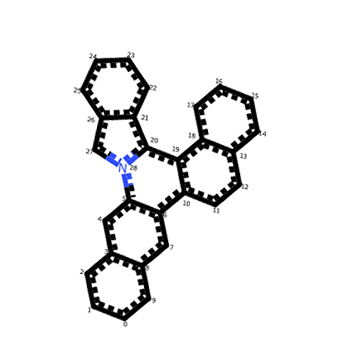 c1ccc2cc3c(cc2c1)c1ccc2ccccc2c1c1c2ccccc2cn31